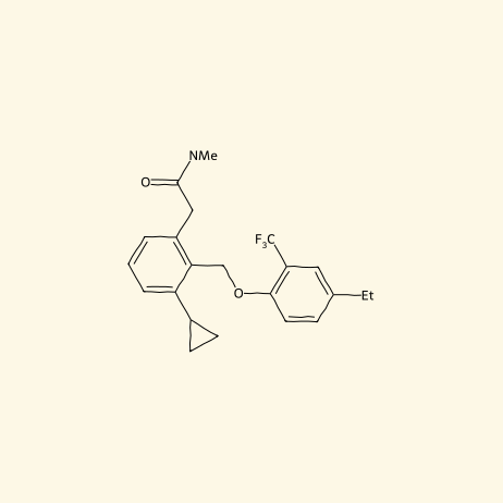 CCc1ccc(OCc2c(CC(=O)NC)cccc2C2CC2)c(C(F)(F)F)c1